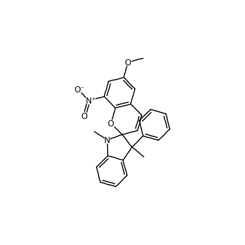 COc1cc2c(c([N+](=O)[O-])c1)OC1(C=C2)N(C)c2ccccc2C1(C)c1ccccc1